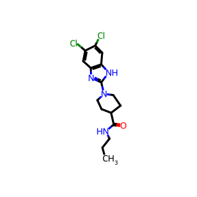 CCCNC(=O)C1CCN(c2nc3cc(Cl)c(Cl)cc3[nH]2)CC1